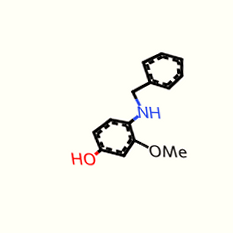 COc1cc(O)ccc1NCc1ccccc1